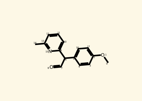 COc1ccc(C(C=O)c2cccc(C)n2)cc1